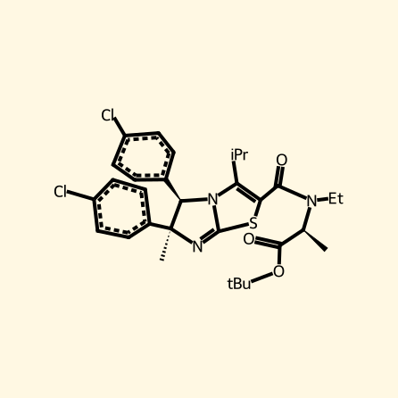 CCN(C(=O)C1=C(C(C)C)N2C(=N[C@@](C)(c3ccc(Cl)cc3)[C@H]2c2ccc(Cl)cc2)S1)[C@@H](C)C(=O)OC(C)(C)C